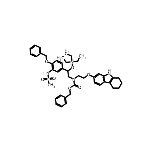 CC[Si](CC)(CC)OC(CN(CCOc1ccc2c3c([nH]c2c1)CCCC3)C(=O)OCc1ccccc1)c1ccc(OCc2ccccc2)c(NS(C)(=O)=O)c1